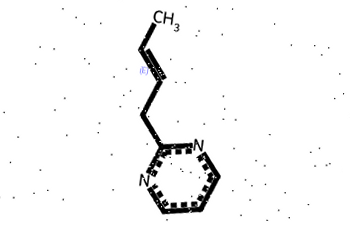 C/C=C/Cc1ncccn1